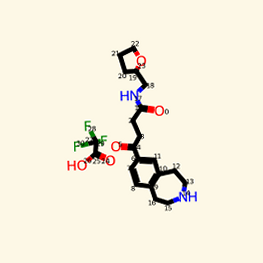 O=C(CCC(=O)c1ccc2c(c1)CCNCC2)NCC1CCCO1.O=C(O)C(F)(F)F